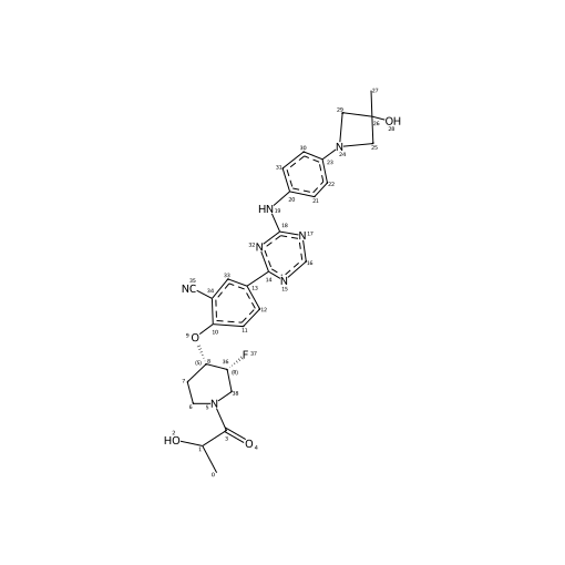 CC(O)C(=O)N1CC[C@H](Oc2ccc(-c3ncnc(Nc4ccc(N5CC(C)(O)C5)cc4)n3)cc2C#N)[C@H](F)C1